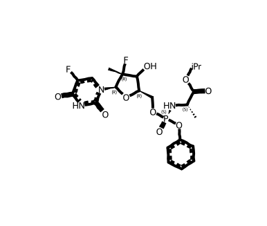 CC(C)OC(=O)[C@H](C)N[P@](=O)(OC[C@H]1O[C@@H](n2cc(F)c(=O)[nH]c2=O)[C@](C)(F)C1O)Oc1ccccc1